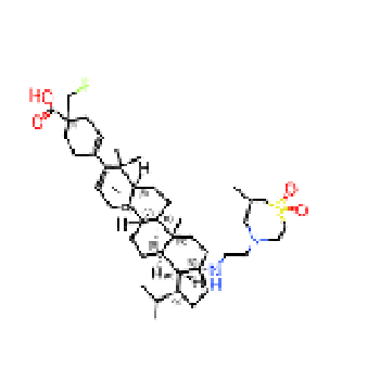 CC1CN(CCN[C@]23CC[C@@H](C(C)C)[C@@H]2[C@H]2CC[C@@H]4[C@@]5(C)CC=C(C6=CC[C@@](CF)(C(=O)O)CC6)C(C)(C)[C@@H]5CC[C@@]4(C)[C@]2(C)CC3)CCS(=O)(=O)C1